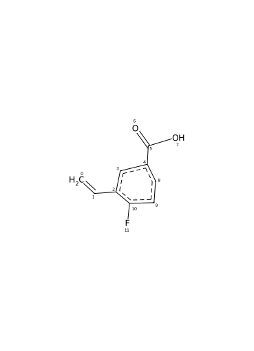 C=Cc1cc(C(=O)O)ccc1F